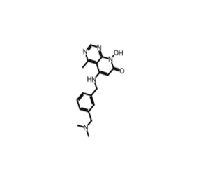 Cc1ncnc2c1c(NCc1cccc(CN(C)C)c1)cc(=O)n2O